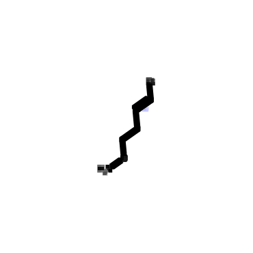 CC/C=C/CCON